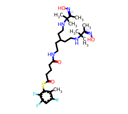 C/C(=N/O)C(C)(C)NCCC(CCNC(=O)CCCC(=O)Sc1c(C)c(F)cc(F)c1F)CCNC(C)(C)/C(C)=N\O